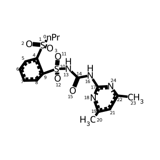 CCCS(=O)(=O)c1ccccc1S(=O)(=O)NC(=O)Nc1nc(C)cc(C)n1